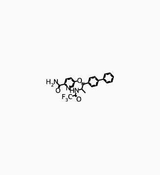 CC(NC(=O)C(F)(F)F)[C@H](Oc1ccc(C(N)=O)nc1)c1ccc(-c2ccccc2)cc1